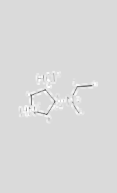 CCN(C)[C@H]1CCNC1.Cl